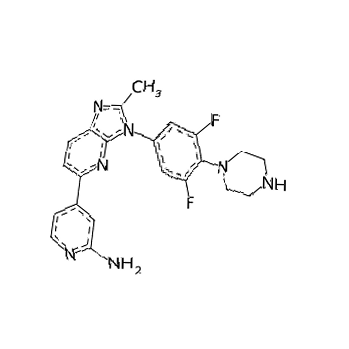 Cc1nc2ccc(-c3ccnc(N)c3)nc2n1-c1cc(F)c(N2CCNCC2)c(F)c1